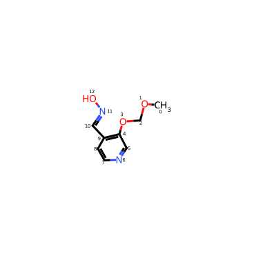 COCOc1cnccc1C=NO